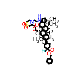 C=C(C)[C@@H]1CC[C@]2(NCCN3CCS(=O)(=O)CC3C(=O)OCC)CC[C@]3(C)[C@H](CC[C@@H]4[C@@]5(C)CC=C(C6=CC[C@@](CF)(C(=O)OCc7ccccc7)CC6)C(C)(C)[C@@H]5CC[C@]43C)[C@@H]12